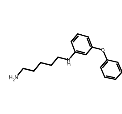 NCCCCCNc1cccc(Oc2ccccc2)c1